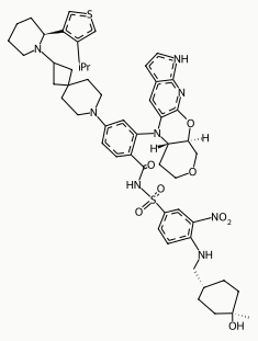 CC(C)c1cscc1[C@@H]1CCCCN1C1CC2(CCN(c3ccc(C(=O)NS(=O)(=O)c4ccc(NC[C@H]5CC[C@](C)(O)CC5)c([N+](=O)[O-])c4)c(N4c5cc6cc[nH]c6nc5O[C@H]5COCC[C@@H]54)c3)CC2)C1